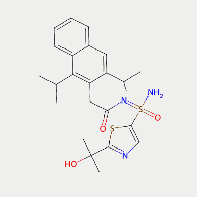 CC(C)c1cc2ccccc2c(C(C)C)c1CC(=O)N=S(N)(=O)c1cnc(C(C)(C)O)s1